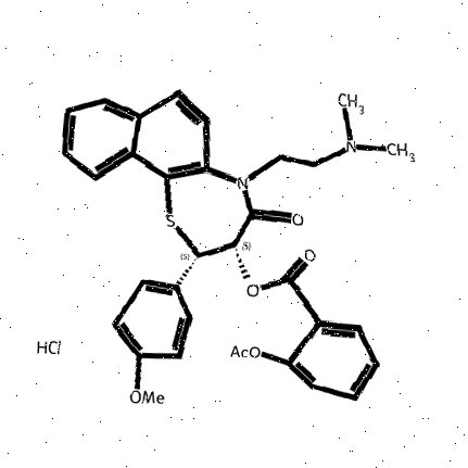 COc1ccc([C@@H]2Sc3c(ccc4ccccc34)N(CCN(C)C)C(=O)[C@@H]2OC(=O)c2ccccc2OC(C)=O)cc1.Cl